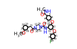 CNC(=O)c1ccc(Oc2cc(NC(=O)N3CCN(C(=O)Cc4cccc(OC)c4)CC3)cc(Oc3ccc(F)cc3)c2)cc1